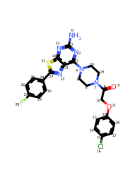 Nc1nc(N2CCN(C(=O)COc3ccc(Cl)cc3)CC2)c2nc(-c3ccc(F)cc3)sc2n1